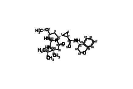 COCCC([C@@H]1C[C@H]1C(=O)N[C@H]1CCOc2ccccc21)N1C(=N)N[C@](C)(C(C)C)CC1=O